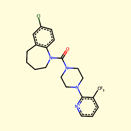 O=C(N1CCN(c2ncccc2C(F)(F)F)CC1)N1CCCCc2cc(Cl)ccc21